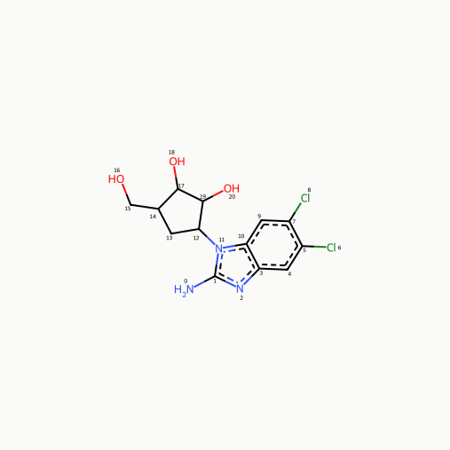 Nc1nc2cc(Cl)c(Cl)cc2n1C1CC(CO)C(O)C1O